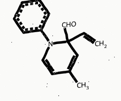 C=CC1(C=O)C=C(C)C=CN1c1ccccc1